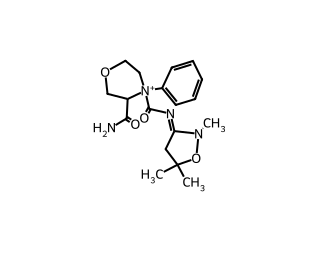 CN1OC(C)(C)CC1=NC(=O)[N+]1(c2ccccc2)CCOCC1C(N)=O